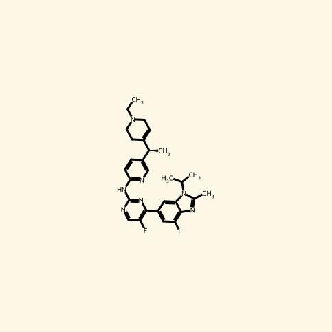 CCN1CC=C([C@@H](C)c2ccc(Nc3ncc(F)c(-c4cc(F)c5nc(C)n(C(C)C)c5c4)n3)nc2)CC1